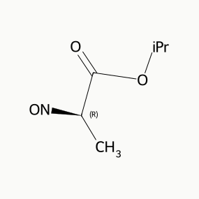 CC(C)OC(=O)[C@@H](C)N=O